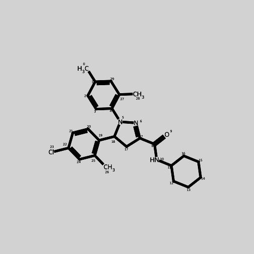 Cc1ccc(N2N=C(C(=O)NC3CCCCC3)CC2c2ccc(Cl)cc2C)c(C)c1